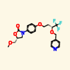 COC[C@H]1CN(c2ccc(OCC[C@@H](OCc3ccncc3)C(F)(F)F)cc2)C(=O)O1